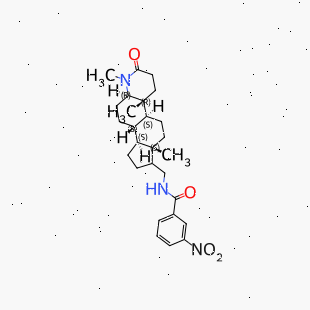 CN1C(=O)CC[C@]2(C)[C@H]3CC[C@]4(C)C(CNC(=O)c5cccc([N+](=O)[O-])c5)CC[C@H]4[C@@H]3CC[C@@H]12